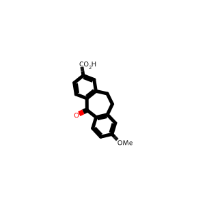 COc1ccc2c(c1)CCc1cc(C(=O)O)ccc1C2=O